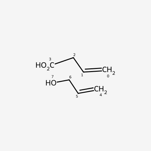 C=CCC(=O)O.C=CCO